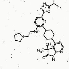 CC1(C)C(=O)Nc2ncnc(N3CCC(c4nc(-c5nnc(C(F)F)o5)ccc4NCCN4CCCC4)CC3)c21